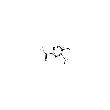 COc1cc(C(=O)O)cnc1C